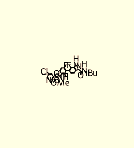 CCC(C)NC(=O)c1n[nH]c2c(F)c(-c3c(F)ccc(NS(=O)(=O)c4cc(Cl)cnc4OC)c3F)ccc12